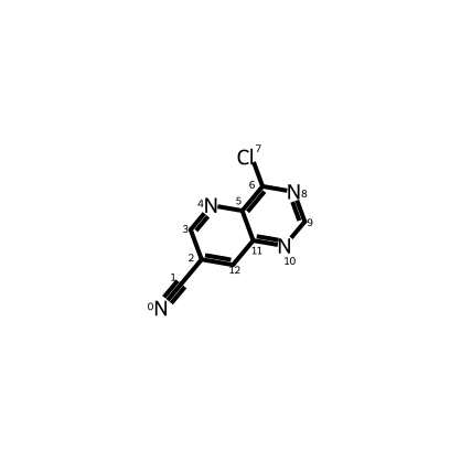 N#Cc1cnc2c(Cl)ncnc2c1